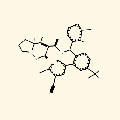 C[C@]12CCCN1NC(=O)C(C(=O)NC(c1ccc(C(F)(F)F)cc1-c1cnc(Cl)c(C#N)c1)c1cccc(F)c1F)=C2O